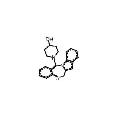 OC1CCN(C2=c3ccccc3=NCc3cc4ccccc4n32)CC1